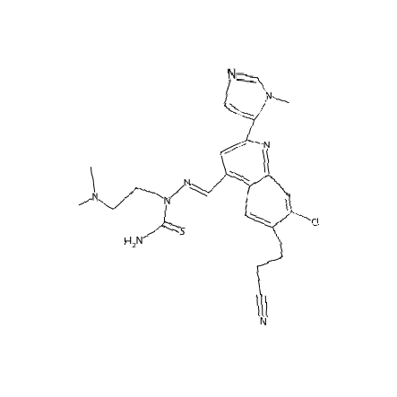 CN(C)CCN(/N=C/c1cc(-c2cncn2C)nc2cc(Cl)c(CCC#N)cc12)C(N)=S